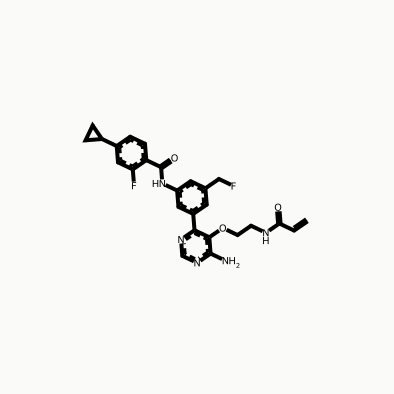 C=CC(=O)NCCOc1c(N)ncnc1-c1cc(CF)cc(NC(=O)c2ccc(C3CC3)cc2F)c1